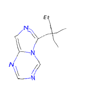 CCC(C)(C)c1ncc2ncncn12